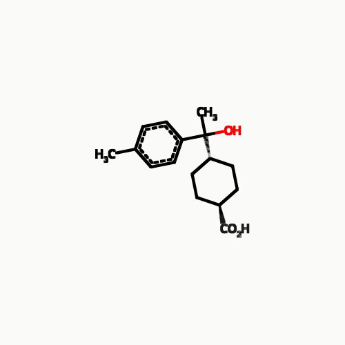 Cc1ccc(C(C)(O)[C@H]2CC[C@H](C(=O)O)CC2)cc1